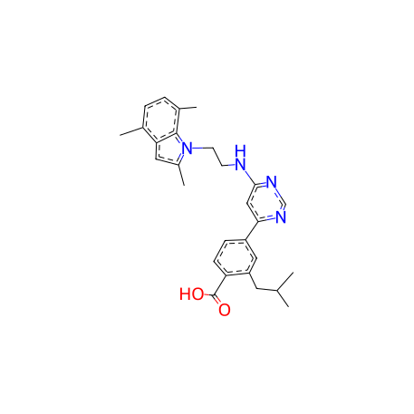 Cc1ccc(C)c2c1cc(C)n2CCNc1cc(-c2ccc(C(=O)O)c(CC(C)C)c2)ncn1